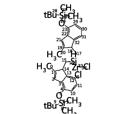 CC1=Cc2c(O[Si](C)(C)C(C)(C)C)cccc2C1C[SiH](CC1C(C)=Cc2c(O[Si](C)(C)C(C)(C)C)cccc21)[Zr]([Cl])[Cl]